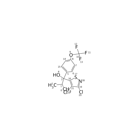 CC(C)C(O)(c1ccc(OC(F)(F)F)cc1)c1snc(Cl)c1Cl